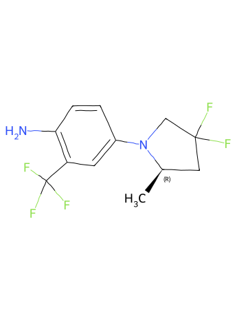 C[C@@H]1CC(F)(F)CN1c1ccc(N)c(C(F)(F)F)c1